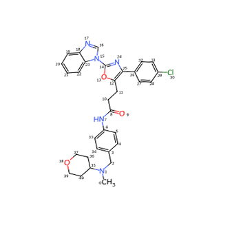 CN(Cc1ccc(NC(=O)CCc2oc(-n3cnc4ccccc43)nc2-c2ccc(Cl)cc2)cc1)C1CCOCC1